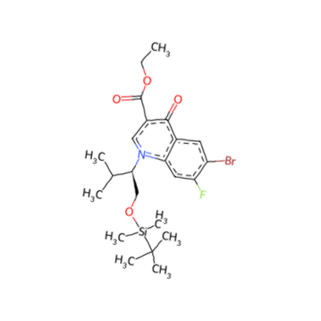 CCOC(=O)c1cn([C@@H](CO[Si](C)(C)C(C)(C)C)C(C)C)c2cc(F)c(Br)cc2c1=O